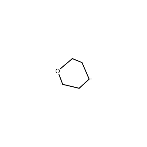 [C]1C[C]OCC1